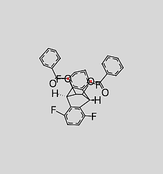 O=C(OC1C(OC(=O)c2ccccc2)[C@H]2c3c(F)ccc(F)c3[C@H]1c1c(F)ccc(F)c12)c1ccccc1